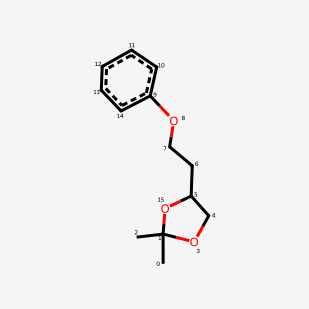 CC1(C)OCC(CCOc2ccccc2)O1